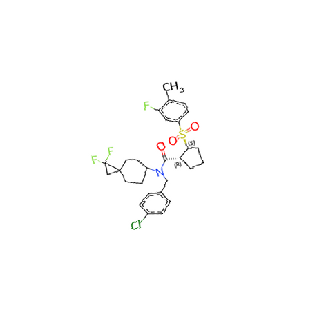 Cc1ccc(S(=O)(=O)[C@H]2CCC[C@@H]2C(=O)N(Cc2ccc(Cl)cc2)C2CCC3(CC2)CC3(F)F)cc1F